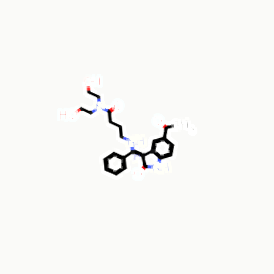 CC(=O)c1ccc2c(c1)/C(=C(\NCCCC(=O)N(CCO)CCO)c1ccccc1)C(=O)N2